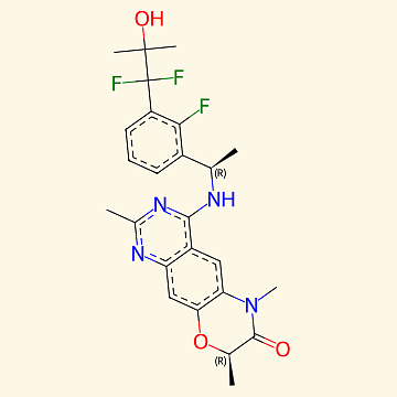 Cc1nc(N[C@H](C)c2cccc(C(F)(F)C(C)(C)O)c2F)c2cc3c(cc2n1)O[C@H](C)C(=O)N3C